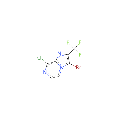 FC(F)(F)c1nc2c(Cl)nccn2c1Br